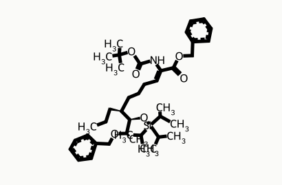 CCC[C@@H](CCC/C=C(\NC(=O)OC(C)(C)C)C(=O)OCc1ccccc1)[C@@H](O[Si](C(C)C)(C(C)C)C(C)C)[C@H](C)OCc1ccccc1